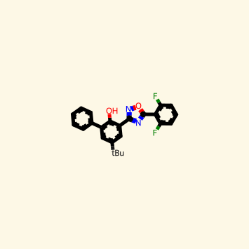 CC(C)(C)c1cc(-c2ccccc2)c(O)c(-c2noc(-c3c(F)cccc3F)n2)c1